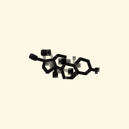 C#C[C@]1(O)CC[C@H]2[C@@H]3CC=C4CC(F)CC[C@]4(C)[C@H]3CC[C@@]21C